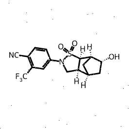 N#Cc1ccc(N2C[C@@H]3[C@H]4C[C@@H]([C@@H]3S2(=O)=O)[C@H](O)C4)cc1C(F)(F)F